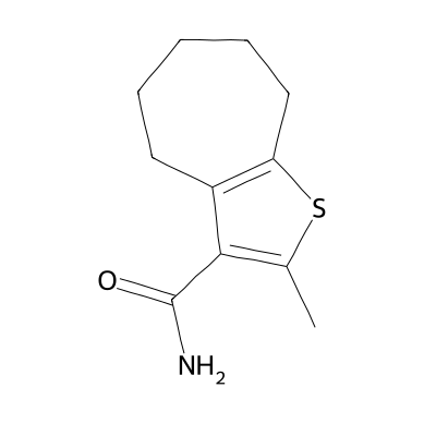 Cc1sc2c(c1C(N)=O)CCCCC2